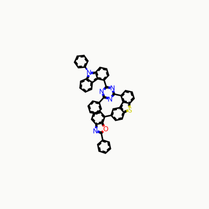 c1ccc(-c2nc(-c3cccc4sc5ccc(-c6cccc7nc(-c8ccccc8)oc67)cc5c34)nc(-c3cccc4c3c3ccccc3n4-c3ccccc3)n2)cc1